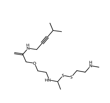 C=C(COCCNC(C)SSCCNC)NCC#CC(C)C